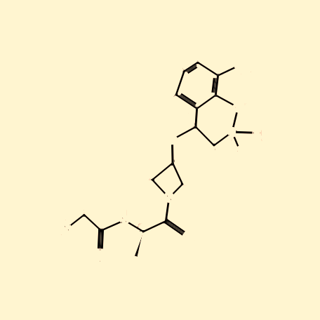 C[C@@H](NC(=O)CN)C(=O)N1CC(OC2C[B-](O)(O)Oc3c(C(=O)O)cccc32)C1